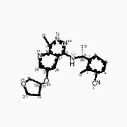 Cc1c(C#N)cccc1[C@@H](C)Nc1nnc(C)c2ncc(O[C@H]3CCOC3)cc12